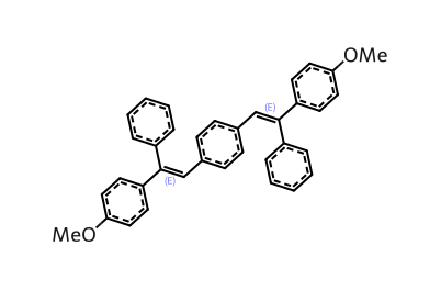 COc1ccc(/C(=C/c2ccc(/C=C(\c3ccccc3)c3ccc(OC)cc3)cc2)c2ccccc2)cc1